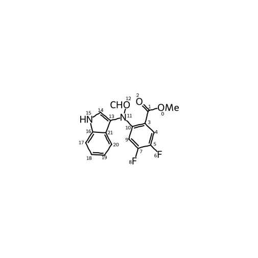 COC(=O)c1cc(F)c(F)cc1N(C=O)c1c[nH]c2ccccc12